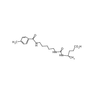 Cc1ccc(C(=O)NCCCCCNC(=O)N[C@H](C)CCC(=O)O)cc1